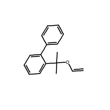 C=COC(C)(C)c1ccccc1-c1ccccc1